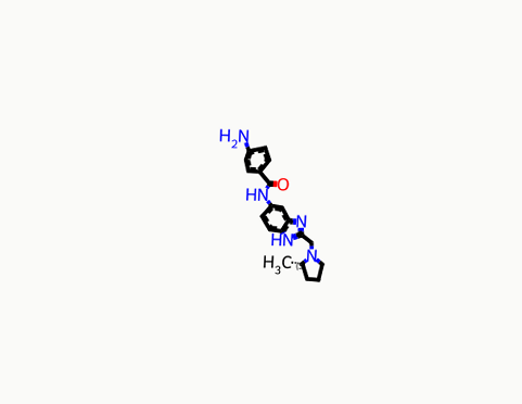 C[C@H]1CCCN1Cc1nc2cc(NC(=O)c3ccc(N)cc3)ccc2[nH]1